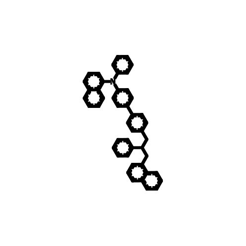 c1ccc(C(Cc2ccc(-c3ccc(N(c4ccccc4)c4cccc5ccccc45)cc3)cc2)Cc2cccc3ccccc23)cc1